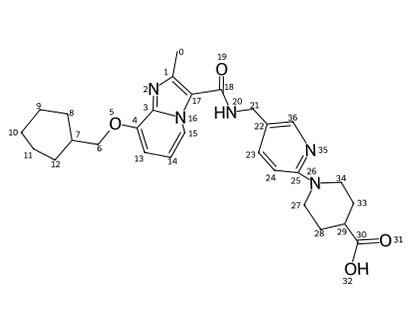 Cc1nc2c(OCC3CCCCC3)cccn2c1C(=O)NCc1ccc(N2CCC(C(=O)O)CC2)nc1